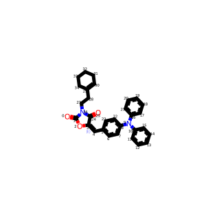 O=C1O/C(=C/c2ccc(N(c3ccccc3)c3ccccc3)cc2)C(=O)N1CCC1=CCCCC1